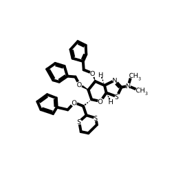 CN(C)C1=N[C@@H]2[C@@H](OCc3ccccc3)[C@H](OCc3ccccc3)[C@@H](C(OCc3ccccc3)C3SCCCS3)O[C@@H]2S1